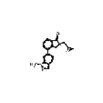 Cn1ncc2ccc(-c3cccc4c3CN(CC3CO3)C4=O)cc21